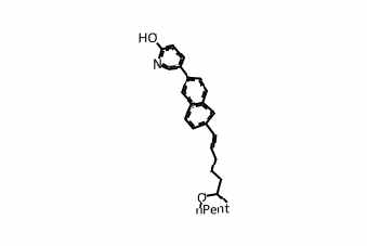 CCCCCOC(C)CCC/C=C/c1ccc2cc(-c3ccc(O)nc3)ccc2c1